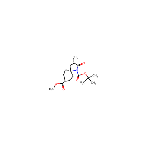 COC(=O)[C@H]1CC[C@]2(CC1)CC(C)C(=O)N2C(=O)OC(C)(C)C